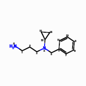 NCCCN(Cc1ccccc1)C1CC1